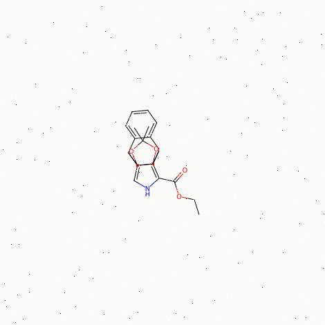 CCOC(=O)c1[nH]cc2c1C1c3ccccc3C2C2OC(C)(C)OC12